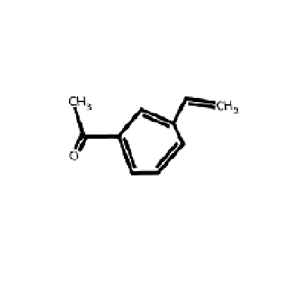 C=Cc1cccc(C(C)=O)c1